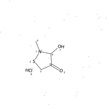 CN1SCC(=O)C1O.Cl